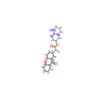 CC(C(=O)OC1CN=C2NCCCN2C1)c1ccc2oc3ccccc3c(=O)c2c1